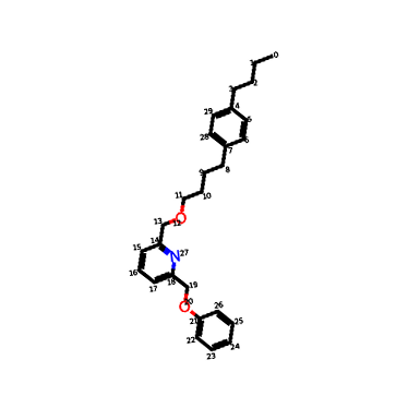 CCCCc1ccc(CCCCOCc2cccc(COc3ccccc3)n2)cc1